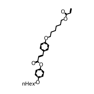 C=CC(=O)OCCCCCCOc1ccc(C=CC(=O)Oc2ccc(OCCCCCC)cc2)cc1